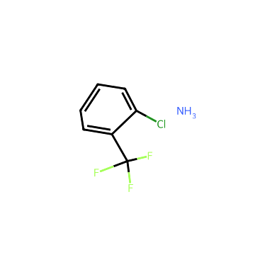 FC(F)(F)c1ccccc1Cl.N